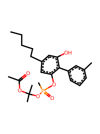 CCCCCc1cc(O)c(-c2cccc(C)c2)c(OP(C)(=O)OC(C)(C)OC(C)=O)c1